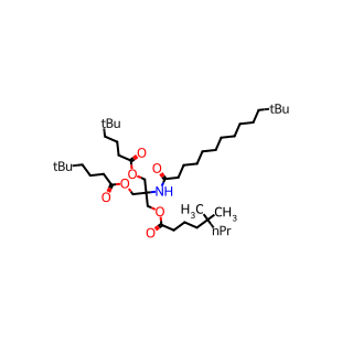 CCCC(C)(C)CCCC(=O)OCC(COC(=O)CCCC(C)(C)C)(COC(=O)CCCC(C)(C)C)NC(=O)CCCCCCCCCCC(C)(C)C